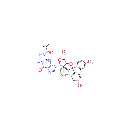 COc1ccc(C(O[C@H]2[C@@H](F)[C@H](n3cnc4c(=O)[nH]c(NC(=O)C(C)C)nc43)O[C@@H]2C=O)(c2ccccc2)c2ccc(OC)cc2)cc1